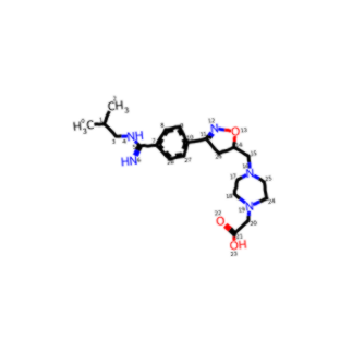 CC(C)CNC(=N)c1ccc(C2=NOC(CN3CCN(CC(=O)O)CC3)C2)cc1